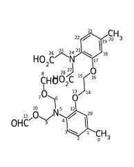 Cc1ccc(N(COC=O)COC=O)c(OCCOc2cc(C)ccc2N(CC(=O)O)CC(=O)O)c1